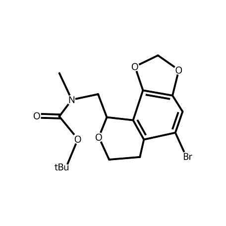 CN(CC1OCCc2c(Br)cc3c(c21)OCO3)C(=O)OC(C)(C)C